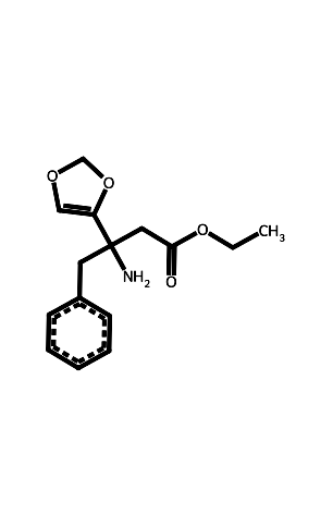 CCOC(=O)CC(N)(Cc1ccccc1)C1=COCO1